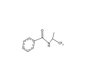 CC(NC(=O)c1ccccc1)C(F)(F)F